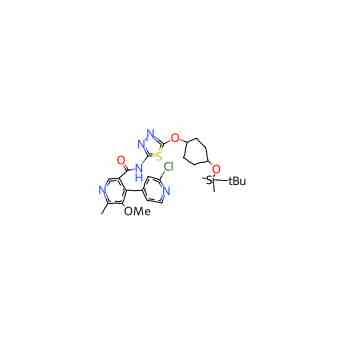 COc1c(C)ncc(C(=O)Nc2nnc(OC3CCC(O[Si](C)(C)C(C)(C)C)CC3)s2)c1-c1ccnc(Cl)c1